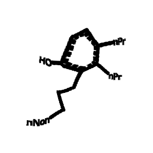 CCCCCCCCCCCCc1c(O)ccc(CCC)c1CCC